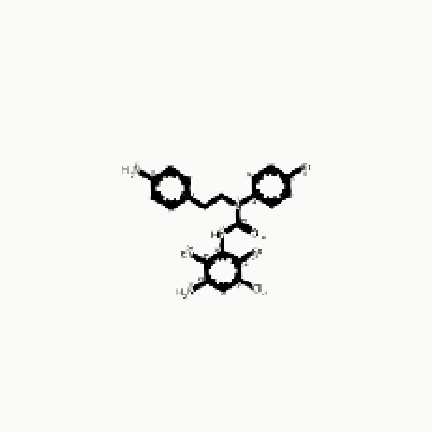 CCc1ccc(N(CCc2ccc(N)cc2)C(=O)Nc2c(CC)c(N)cc(Cl)c2CC)cc1